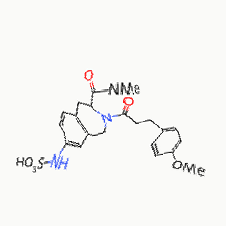 CNC(=O)C1Cc2ccc(NS(=O)(=O)O)cc2CN1C(=O)CCc1ccc(OC)cc1